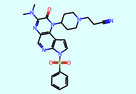 CN(C)c1nc2cnc3c(ccn3S(=O)(=O)c3ccccc3)c2n(C2CCN(CCC#N)CC2)c1=O